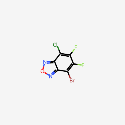 Fc1c(F)c(Br)c2nonc2c1Cl